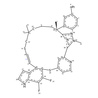 CCCc1cccc([C@@]2(C)CCCC(C)(C)CS/C=C/c3c(c(F)c(F)c4[nH]ccc34)Sc3ccnc(c3)-c3nc2nn3C)c1